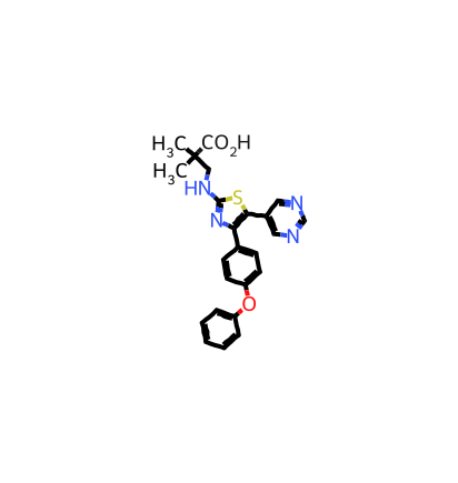 CC(C)(CNc1nc(-c2ccc(Oc3ccccc3)cc2)c(-c2cncnc2)s1)C(=O)O